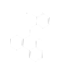 COc1ccccc1C1=C(COc2cccnc2C=O)CCCC1